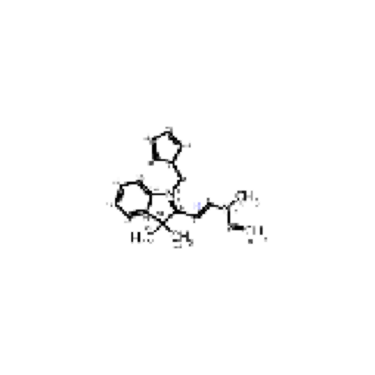 C=CN(C)/C=C/C1=[N+](CC2C=CC=C2)c2ccccc2C1(C)C